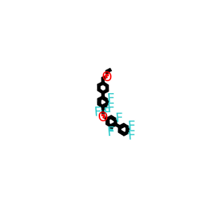 CCOCC1CCC(c2ccc(C(F)(F)Oc3cc(F)c(-c4ccc(F)c(F)c4)c(F)c3)c(F)c2F)CC1